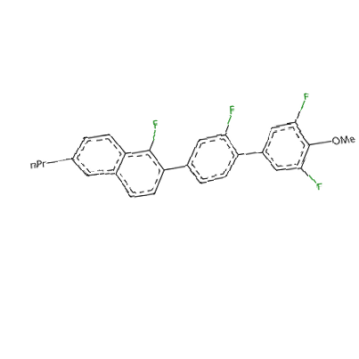 CCCc1ccc2c(F)c(-c3ccc(-c4cc(F)c(OC)c(F)c4)c(F)c3)ccc2c1